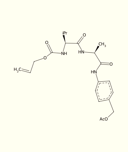 C=CCOC(=O)N[C@H](C(=O)N[C@@H](C)C(=O)Nc1ccc(COC(C)=O)cc1)C(C)C